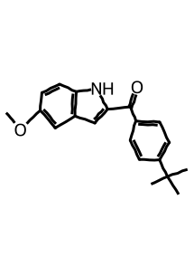 COc1ccc2[nH]c(C(=O)c3ccc(C(C)(C)C)cc3)cc2c1